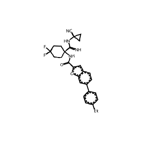 CCc1ccc(-c2ccc3cc(C(=O)NC4(C(=N)NC5(C#N)CC5)CCC(F)(F)CC4)oc3c2)cc1